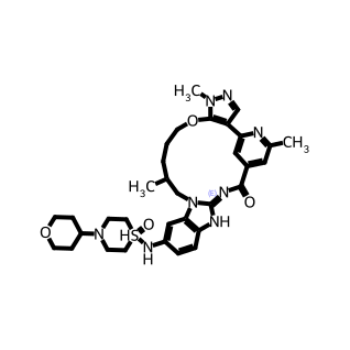 Cc1cc2cc(n1)-c1cnn(C)c1OCCCC(C)CN1/C(=N/C2=O)Nc2ccc(N[SH]3(=O)CCN(C4CCOCC4)CC3)cc21